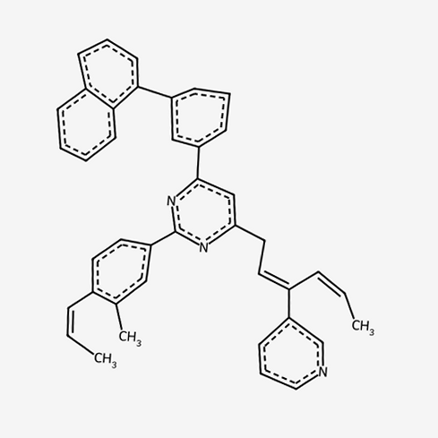 C/C=C\C(=C/Cc1cc(-c2cccc(-c3cccc4ccccc34)c2)nc(-c2ccc(/C=C\C)c(C)c2)n1)c1cccnc1